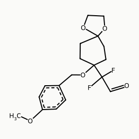 COc1ccc(COC2(C(F)(F)C=O)CCC3(CC2)OCCO3)cc1